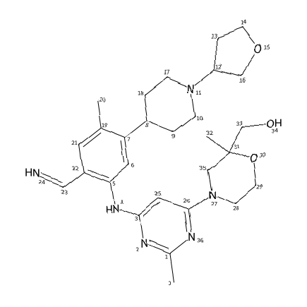 Cc1nc(Nc2cc(C3CCN(C4CCOC4)CC3)c(C)cc2C=N)cc(N2CCOC(C)(CO)C2)n1